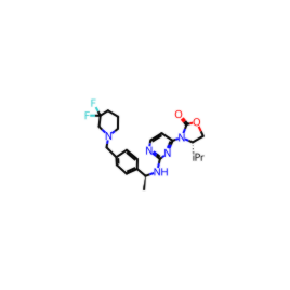 CC(C)[C@H]1COC(=O)N1c1ccnc(N[C@@H](C)c2ccc(CN3CCCC(F)(F)C3)cc2)n1